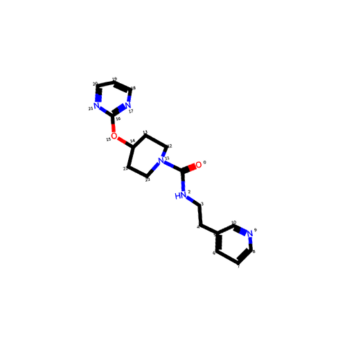 O=C(NCCc1cccnc1)N1CCC(Oc2ncccn2)CC1